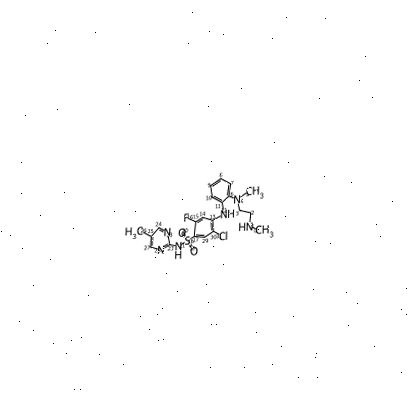 CNCCN(C)c1ccccc1Nc1cc(F)c(S(=O)(=O)Nc2ncc(C)cn2)cc1Cl